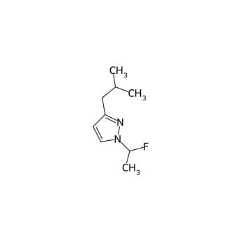 CC(C)Cc1ccn(C(C)F)n1